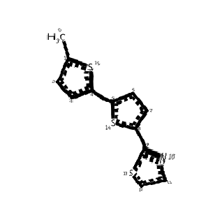 Cc1ccc(-c2ccc(-c3nccs3)s2)s1